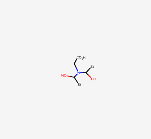 CCC(O)N(CC(=O)O)C(O)CC